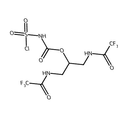 O=C(NS(=O)(=O)Cl)OC(CNC(=O)C(F)(F)F)CNC(=O)C(F)(F)F